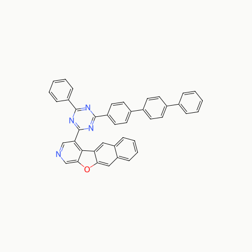 c1ccc(-c2ccc(-c3ccc(-c4nc(-c5ccccc5)nc(-c5cncc6oc7cc8ccccc8cc7c56)n4)cc3)cc2)cc1